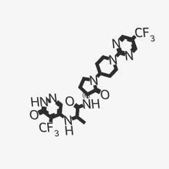 CC(Nc1cn[nH]c(=O)c1C(F)(F)F)C(=O)N[C@@H]1CCN(C2CCN(c3ncc(C(F)(F)F)cn3)CC2)C1=O